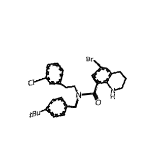 CC(C)(C)c1ccc(CN(CCc2cccc(Cl)c2)C(=O)c2cc(Br)cc3c2NCCC3)cc1